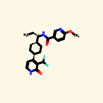 CC[C@H](NC(=O)c1ccc(OC)nc1)[C@H]1CC[C@@H](c2cc[nH]c(=O)c2C(F)F)CC1